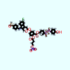 CC1=C(CC(=O)Oc2ccc(OC(=O)CCCO[N+](=O)[O-])c(C(=O)Oc3ccc(P4(=S)SP(=S)(c5ccc(O)cc5)S4)cc3)c2)c2cc(F)ccc2/C1=C\c1ccc([S+](C)[O-])cc1